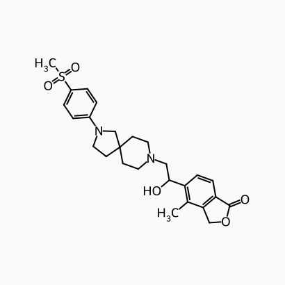 Cc1c(C(O)CN2CCC3(CC2)CCN(c2ccc(S(C)(=O)=O)cc2)C3)ccc2c1COC2=O